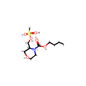 CCCCOC(=O)N1CCOCC1COS(C)(=O)=O